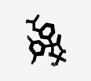 CC1(N)NC(=O)C(c2cc(F)cc(F)c2)(c2cccc(OC(F)F)c2)N1